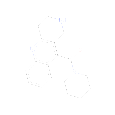 O=C(c1c2c(nc3ccccc13)CCNC2)N1CCCCC1